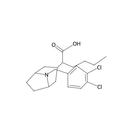 CCCCC(C(=O)O)C1CC2CCC(C1)N2Cc1ccc(Cl)c(Cl)c1